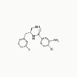 NC[C@H](Cc1cccc(F)c1)NC(=O)c1ccc(Cl)c(N)c1